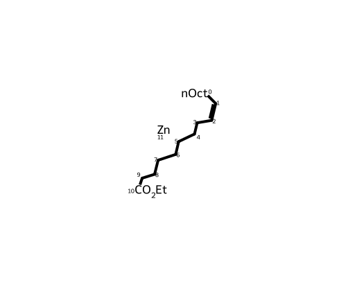 CCCCCCCC/C=C\CCCCCCCC(=O)OCC.[Zn]